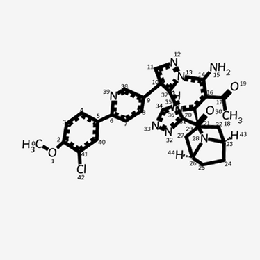 COc1ccc(-c2ccc(-c3cnn4c(N)c(C(C)=O)c([C@H]5C[C@H]6CC[C@@H](C5)N6C(=O)c5nnc[nH]5)nc34)cn2)cc1Cl